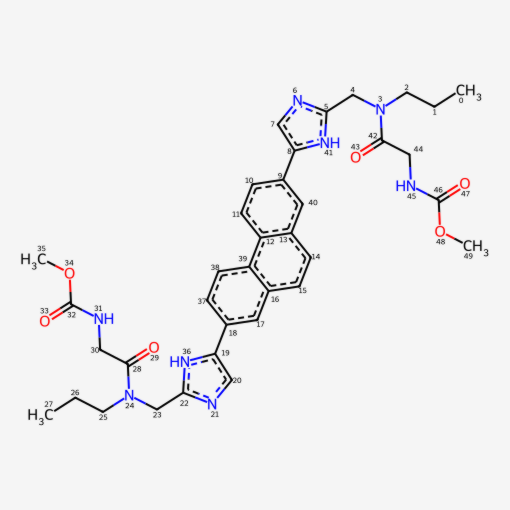 CCCN(Cc1ncc(-c2ccc3c(ccc4cc(-c5cnc(CN(CCC)C(=O)CNC(=O)OC)[nH]5)ccc43)c2)[nH]1)C(=O)CNC(=O)OC